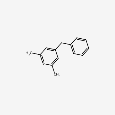 Cc1cc(Cc2ccccc2)cc(C)n1